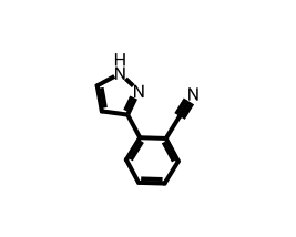 N#Cc1ccccc1-c1cc[nH]n1